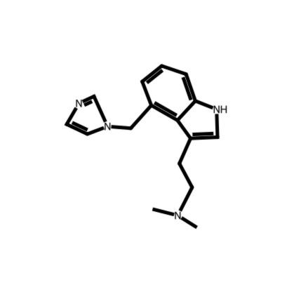 CN(C)CCc1c[nH]c2cccc(Cn3ccnc3)c12